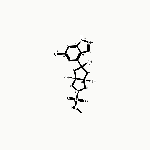 CNS(=O)(=O)N1C[C@@H]2CC(O)(c3cc(Cl)cc4[nH]ncc34)C[C@@H]2C1